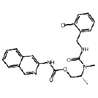 C[C@H](COC(=O)Nc1cc2ccccc2cn1)N(C)C(=O)NCc1ccccc1Cl